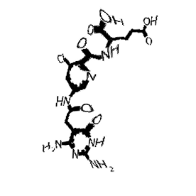 Nc1nc(N)c(CC(=O)Nc2cnc(C(=O)NC(CCC(=O)O)C(=O)O)c(Cl)c2)c(=O)[nH]1